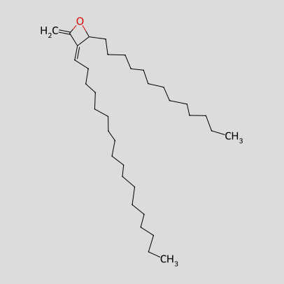 C=C1OC(CCCCCCCCCCCCC)/C1=C\CCCCCCCCCCCCCCCCC